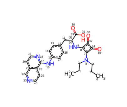 CCCN(CCC)c1c(N[C@@H](Cc2ccc(Nc3nccc4cnccc34)cc2)C(=O)O)c(=O)c1=O